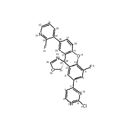 Fc1cc(-c2ccnc(Cl)n2)cc2c1Oc1ccc(-c3cccnc3F)cc1[C@@]21COC=N1